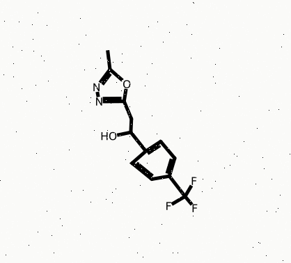 Cc1nnc(CC(O)c2ccc(C(F)(F)F)cc2)o1